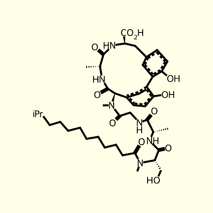 CC(C)CCCCCCCCCC(=O)N(C)[C@@H](CO)C(=O)N[C@@H](C)C(=O)NCC(=O)N(C)[C@H]1C(=O)N[C@H](C)C(=O)N[C@@H](C(=O)O)Cc2ccc(O)c(c2)-c2cc1ccc2O